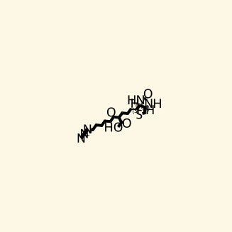 [N-]=[N+]=NCCCCCC(=O)C(CCC[C@@H]1SC[C@@H]2NC(=O)N[C@@H]21)C(=O)O